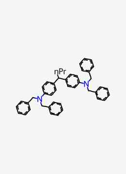 CCCC(c1ccc(N(Cc2ccccc2)Cc2ccccc2)cc1)c1ccc(N(Cc2ccccc2)Cc2ccccc2)cc1